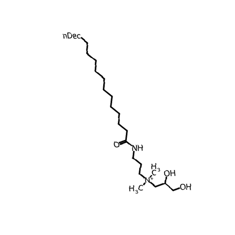 CCCCCCCCCCCCCCCCCCCCCC(=O)NCCC[N+](C)(C)CC(O)CO